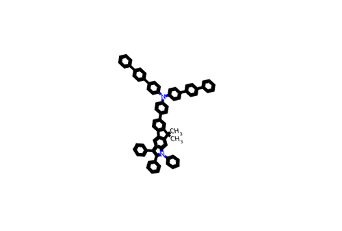 CC1(C)c2cc(-c3ccc(N(c4ccc(-c5ccc(-c6ccccc6)cc5)cc4)c4ccc(-c5ccc(-c6ccccc6)cc5)cc4)cc3)ccc2-c2cc3c(-c4ccccc4)c(-c4ccccc4)n(-c4ccccc4)c3cc21